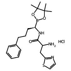 CC1(C)OB([C@H](CCCc2ccccc2)NC(=O)C(N)Cc2nccs2)OC1(C)C.Cl